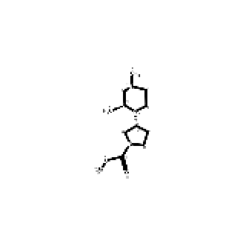 C[C@H]1CN(C)CCN1[C@@H]1CCN(C(=O)OC(C)(C)C)C1